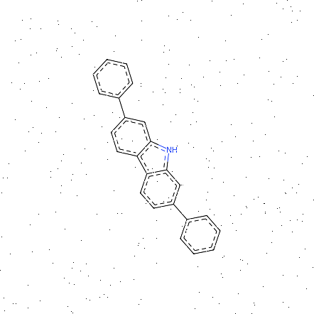 [c]1c(-c2ccccc2)ccc2c1[nH]c1cc(-c3ccccc3)ccc12